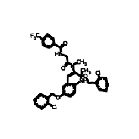 CN(C(=O)CNC(=O)c1ccc(C(F)(F)F)cc1)C1=Cc2cc(OCc3ccccc3Cl)ccc2NC1(C)OCc1ccccc1Cl